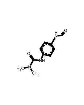 CN(C)C(=O)Nc1ccc(NC=O)cc1